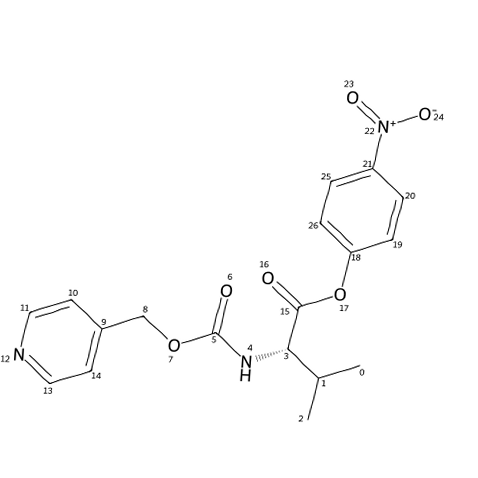 CC(C)[C@H](NC(=O)OCc1ccncc1)C(=O)Oc1ccc([N+](=O)[O-])cc1